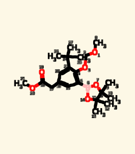 COCOc1c(B2OC(C)(C)C(C)(C)O2)cc(CC(=O)OC)cc1C(C)(C)C